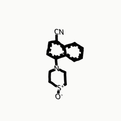 N#Cc1ccc(N2CC[S+]([O-])CC2)c2ccccc12